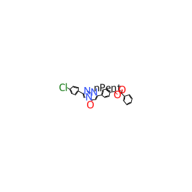 CCCCCn1c(-c2ccc(COC(=O)c3ccccc3)cc2)cc(=O)n2cc(-c3ccc(Cl)cc3)nc12